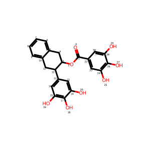 O=C(OC1Cc2ccccc2CC1c1cc(O)c(O)c(O)c1)c1cc(O)c(O)c(O)c1